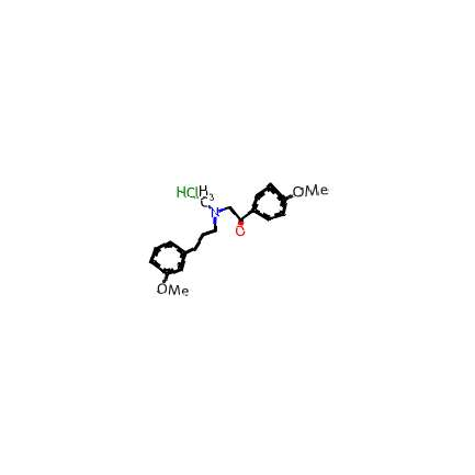 COc1ccc(C(=O)CN(C)CCCc2cccc(OC)c2)cc1.Cl